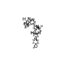 COC1CCN(C2C[C@@H]3C(c4cc(-c5cnc(N)c(OC(F)(F)F)c5)nn4C(C)C)[C@@H]3C2)CC1